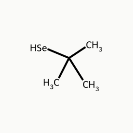 CC(C)(C)[SeH]